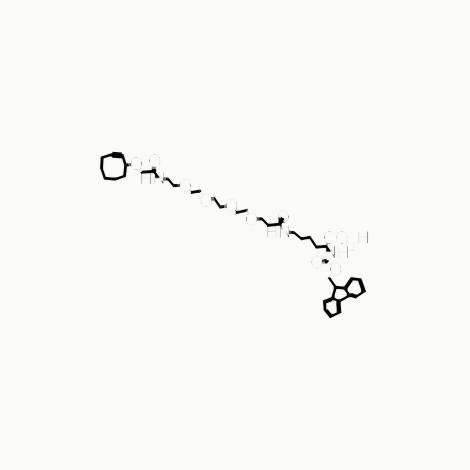 O=C(CCOCCOCCOCCOCCNC(=O)COC1C#CCCCCC1)NCCCC[C@@H](NC(=O)OCC1c2ccccc2-c2ccccc21)C(=O)O